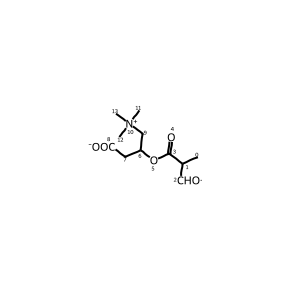 CC([C]=O)C(=O)OC(CC(=O)[O-])C[N+](C)(C)C